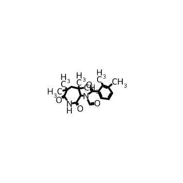 Cc1cccc(C(=O)N(C=O)C2C(=O)NC(=O)C(C)(C)CC2(C)C)c1C